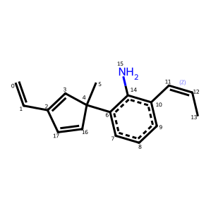 C=CC1=CC(C)(c2cccc(/C=C\C)c2N)C=C1